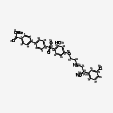 COC(=O)c1ccc(-c2ccc(S(=O)(=O)c3ccc(OCCNC[C@H](O)c4cccc(Cl)c4)cc3)cc2)cc1.Cl